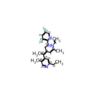 C=CN/C(C)=C\C(CCc1ncc(F)cc1F)=C(\C)c1cc(CC)ncc1C